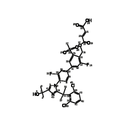 CC(C)(O)c1cn(-c2ccc(-c3cc(F)c(COC(=O)C=CC(=O)O)c(S(C)(=O)=O)c3)cc2F)c(C(C)(C)c2c(Cl)cccc2Cl)n1